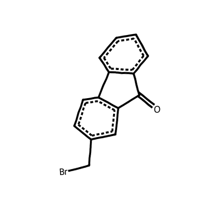 O=C1c2ccccc2-c2ccc(CBr)cc21